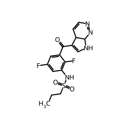 CCCS(=O)(=O)Nc1cc(F)cc(C(=O)C2=CNC3N=NC=CC23)c1F